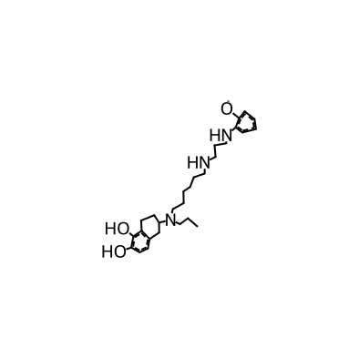 CCCN(CCCCCCNCCCNc1ccccc1OC)C1CCc2c(ccc(O)c2O)C1